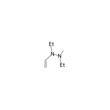 C=CN(CC)N(C)CC